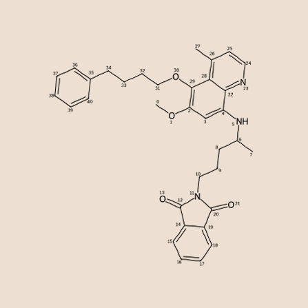 COc1cc(NC(C)CCCN2C(=O)c3ccccc3C2=O)c2nccc(C)c2c1OCCCCc1ccccc1